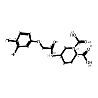 O=C(COc1ccc(Cl)c(F)c1)NC1CC[C@H](C(=O)O)N(C(=O)O)C1